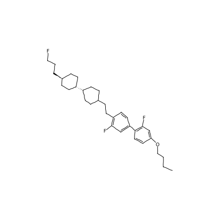 CCCCOc1ccc(-c2ccc(CCC3CCC([C@H]4CC[C@H](CCCF)CC4)CC3)c(F)c2)c(F)c1